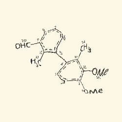 COc1ccc(-c2cccc(C=O)c2C)c(C)c1OC